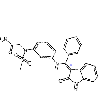 CS(=O)(=O)N(CC(N)=O)c1cccc(N/C(=C2\C(=O)Nc3ccccc32)c2ccccc2)c1